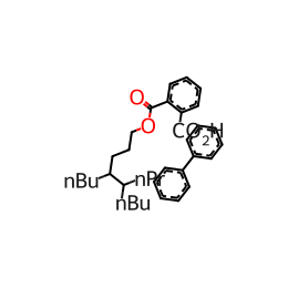 CCCCC(CCC)C(CCCC)CCCOC(=O)c1ccccc1C(=O)O.c1ccc(-c2ccccc2)cc1